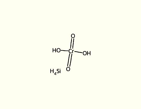 [O]=[Cr](=[O])([OH])[OH].[SiH4]